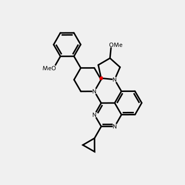 COc1ccccc1C1CCN(c2nc(C3CC3)nc3cccc(N4CCC(OC)C4)c23)CC1